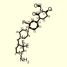 NN1CCC(CN2CCN(c3ccc(C4CCC(=O)N(C=O)C4=O)cc3F)CC2)C(F)(F)C1